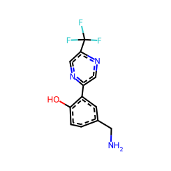 NCc1ccc(O)c(-c2cnc(C(F)(F)F)cn2)c1